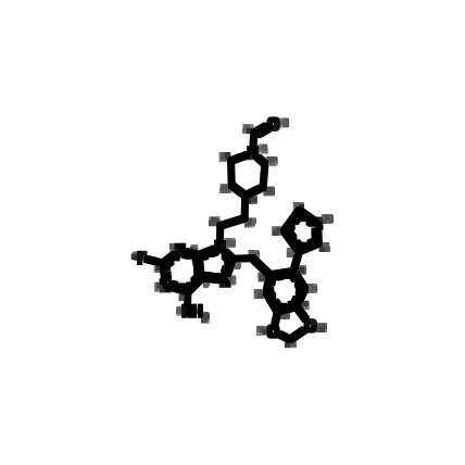 Nc1nc(F)nc2c1nc(Cc1cc3c(cc1-c1ccsc1)OCO3)n2CCC1CCN(C=O)CC1